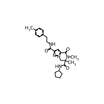 Cc1ccc(CCNC(=O)c2cc3n(n2)CC(C)(C(=O)NC2CCCC2)N(C)C3=O)cc1